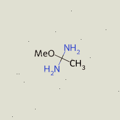 COC(C)(N)N